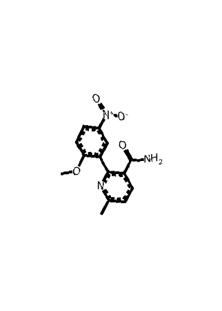 COc1ccc([N+](=O)[O-])cc1-c1nc(C)ccc1C(N)=O